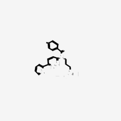 CN(C)CCCN(C(=O)c1ccc(F)cc1)c1ccc(-c2ccccn2)nn1